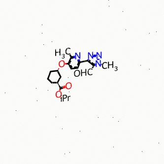 Cc1nc(-c2nnn(C)c2C=O)ccc1O[C@H]1CCC[C@H](C(=O)OC(C)C)C1